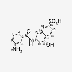 Nc1cccc(C(=O)Nc2cc(O)c3ccc(S(=O)(=O)O)cc3c2)c1